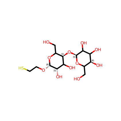 OCC1O[C@@H](O[C@@H]2C(CO)O[C@@H](OCCS)[C@@H](O)C2O)C(O)C(O)[C@H]1O